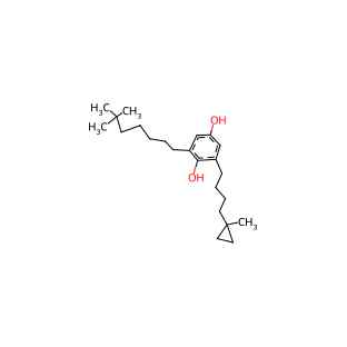 CC(C)(C)CCCCCc1cc(O)cc(CCCCC2(C)CC2)c1O